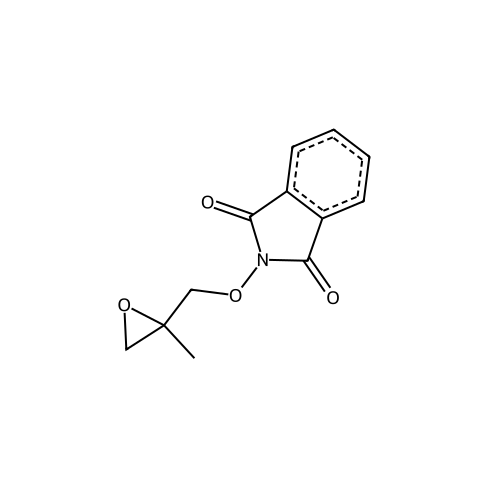 CC1(CON2C(=O)c3ccccc3C2=O)CO1